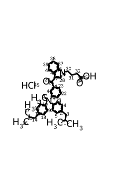 CC(C)Cc1ccc([N+](C)(c2ccc(CC(C)C)cc2)c2cccc(C(=O)c3cn(CCCC(=O)O)c4ccccc34)c2)cc1.Cl